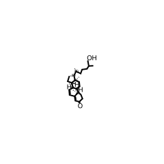 CC(CO)CCC[C@@H](C)[C@H]1CC[C@H]2[C@@H]3C=CC4=CC(=O)CC[C@]4(C)[C@H]3CC[C@]12C